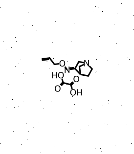 C=CCON=C1CN2CCC1C2.O=C(O)C(=O)O